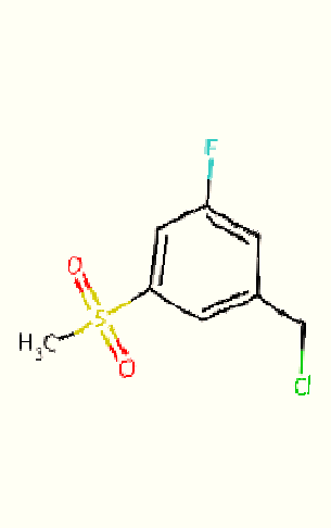 CS(=O)(=O)c1cc(F)cc(CCl)c1